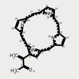 C=C(C(C)=O)c1cc2cc3nc(cc4ccc(cc5nc(cc1[nH]2)C=C5)[nH]4)C=C3